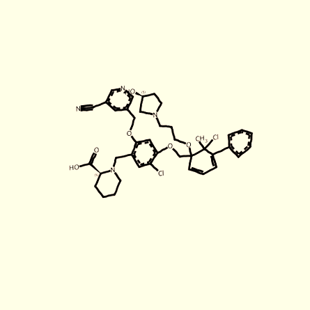 CC1(Cl)C(c2ccccc2)=CC=CC1(COc1cc(OCc2cncc(C#N)c2)c(CN2CCCC[C@H]2C(=O)O)cc1Cl)OCCCN1CC[C@H](O)C1